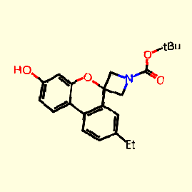 CCc1ccc2c(c1)C1(CN(C(=O)OC(C)(C)C)C1)Oc1cc(O)ccc1-2